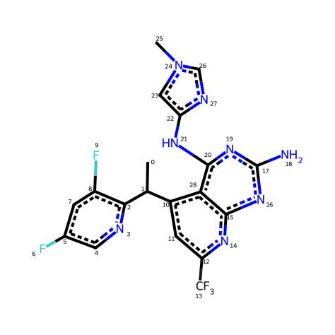 CC(c1ncc(F)cc1F)c1cc(C(F)(F)F)nc2nc(N)nc(Nc3cn(C)cn3)c12